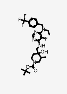 CCN(Cc1ccc(C(F)(F)F)cc1)c1ncnc(NCC2(O)CCN(C(=O)OC(C)(C)C)CC2C)c1F